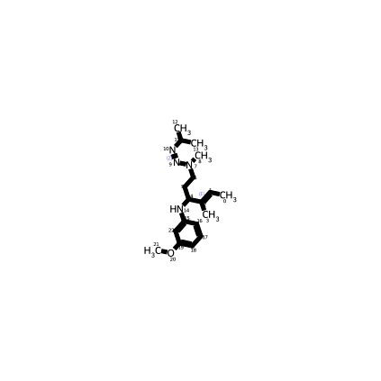 C/C=C(\C)C(CCN(C)/N=N\C(C)C)Nc1cccc(OC)c1